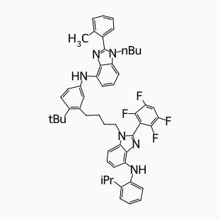 CCCCn1c(-c2ccccc2C)nc2c(Nc3ccc(C(C)(C)C)c(CCCCn4c(-c5c(F)c(F)cc(F)c5F)nc5c(Nc6ccccc6C(C)C)cccc54)c3)cccc21